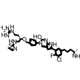 C[C@H](N)CCCc1cc(Cl)c(F)c(-c2cc3c([nH]2)=NC(O)N(c2ccc(CO[C@H](CCNC(=N)N)CNc4nccs4)cc2)C=3)c1